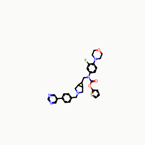 O=C(Oc1cccs1)N(CC1C2CN(Cc3ccc(-c4cncnc4)cc3)CC21)c1ccc(N2CCOCC2)c(F)c1